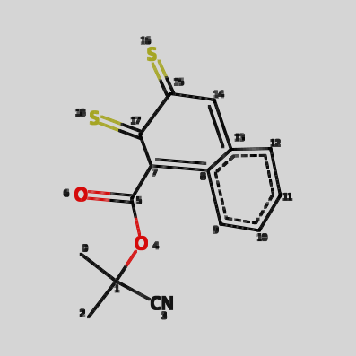 CC(C)(C#N)OC(=O)C1=c2ccccc2=CC(=S)C1=S